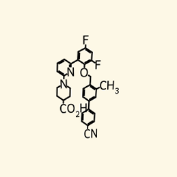 Cc1cc(-c2ccc(C#N)cc2)ccc1COc1c(F)cc(F)cc1-c1cccc(N2CCC(C(=O)O)CC2)n1